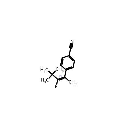 C/C(=C(\F)C(C)(C)C)c1ccc(C#N)cc1